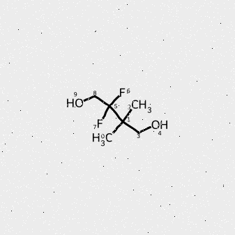 CC(C)(CO)C(F)(F)CO